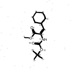 COC(=O)/C(=C\C1CCCCC1)NC(=O)OC(C)(C)C